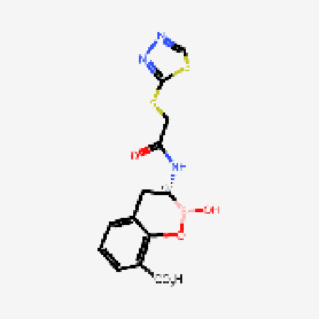 O=C(CSc1nncs1)N[C@H]1Cc2cccc(C(=O)O)c2OB1O